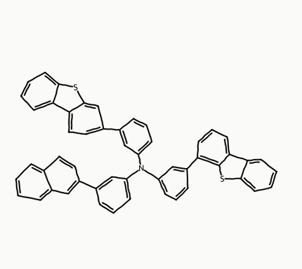 c1cc(-c2ccc3ccccc3c2)cc(N(c2cccc(-c3ccc4c(c3)sc3ccccc34)c2)c2cccc(-c3cccc4c3sc3ccccc34)c2)c1